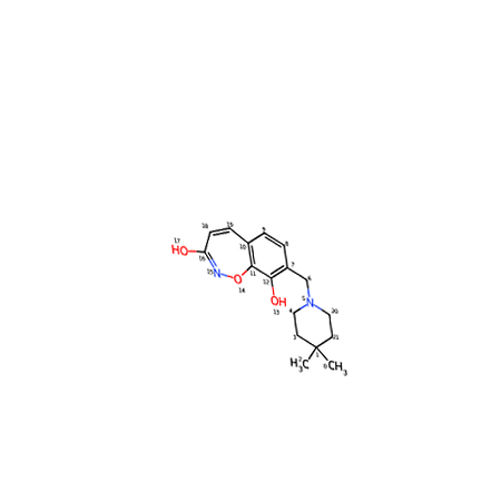 CC1(C)CCN(Cc2ccc3c(c2O)ON=C(O)C=C3)CC1